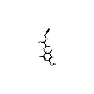 C#CCNC(=O)C(C)Oc1c(C)cc(C=O)cc1C